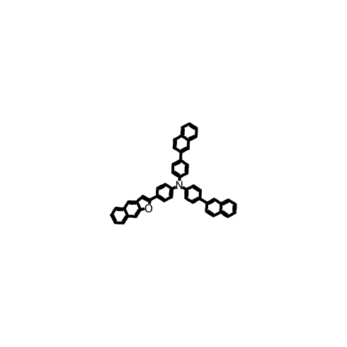 c1ccc2cc(-c3ccc(N(c4ccc(-c5ccc6ccccc6c5)cc4)c4ccc(-c5cc6cc7ccccc7cc6o5)cc4)cc3)ccc2c1